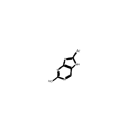 CC(=O)c1nc2nc(O)ncc2[nH]1